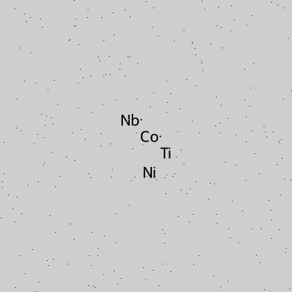 [Co].[Nb].[Ni].[Ti]